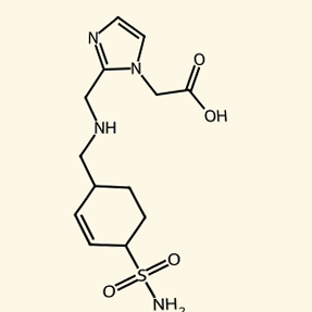 NS(=O)(=O)C1C=CC(CNCc2nccn2CC(=O)O)CC1